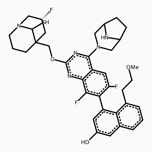 COCCc1cccc2cc(O)cc(-c3c(F)cc4c(N5CC6CCC(C5)N6)nc(OCC56CCCN(C[C@H](F)C5)C6S)nc4c3F)c12